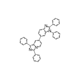 c1ccc(-c2nc(-c3ccccc3)n3ccc(-c4ccc5nc(-c6ccccc6)n(-c6ccccc6)c5c4)cc23)cc1